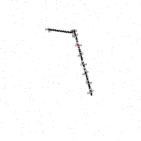 CCCNC(=O)COCCOCCNC(=O)COCCOCCNC(=O)COCCOCCNC(=O)COCCOCCNC(=O)COCCOCCNC(=O)COCCOCCNC(=O)CC[C@H](NC(=O)CCCCCCCCCCCCCCCCCCCCC(=O)O)C(=O)O